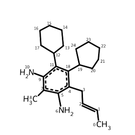 CC=CCc1c(N)c(C)c(N)c(C2CCCCC2)c1C1CCCCC1